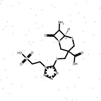 NC1C(=O)N2CC(CSc3nnnn3CCS(=O)(=O)O)(C(=O)O)CS[C@H]12